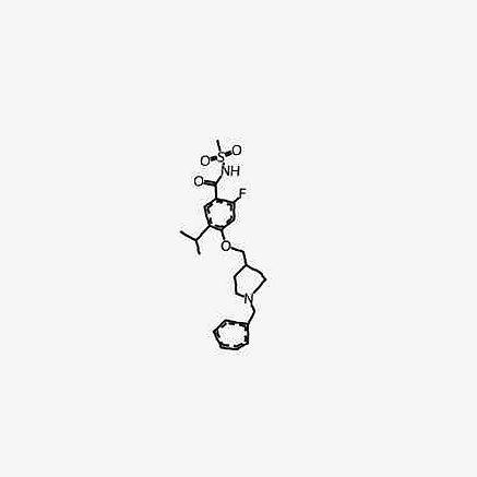 CC(C)c1cc(C(=O)NS(C)(=O)=O)c(F)cc1OCC1CCN(Cc2ccccc2)CC1